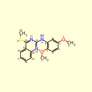 COc1ccc(OC)c(Nc2nc(SC)c3ccccc3n2)c1